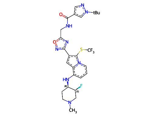 CN1CC[C@@H](Nc2cccn3c(SC(F)(F)F)c(-c4noc(CNC(=O)c5cnn(C(C)(C)C)c5)n4)cc23)[C@@H](F)C1